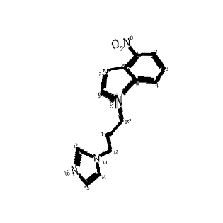 O=[N+]([O-])c1cccc2c1ncn2CCCn1ccnc1